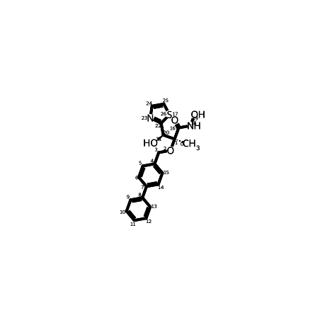 C[C@@](OCc1ccc(-c2ccccc2)cc1)(C(=O)NO)[C@@H](O)c1nccs1